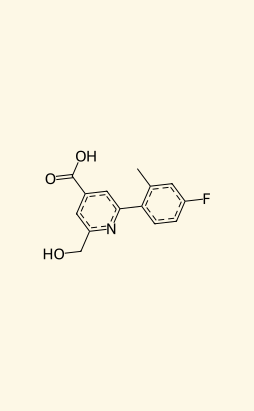 Cc1cc(F)ccc1-c1cc(C(=O)O)cc(CO)n1